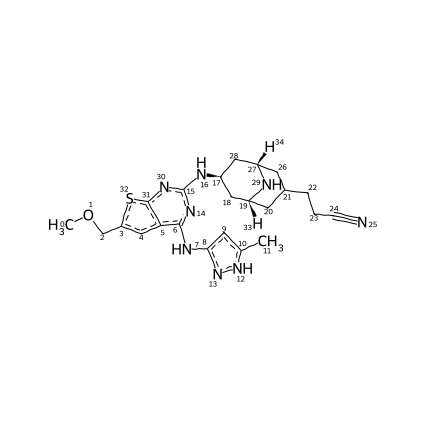 COCc1cc2c(Nc3cc(C)[nH]n3)nc(N[C@@H]3C[C@H]4CC(CCC#N)C[C@@H](C3)N4)nc2s1